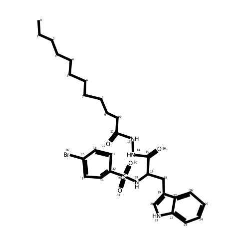 CCCCCCCCCCCC(=O)NNC(=O)C(Cc1c[nH]c2ccccc12)NS(=O)(=O)c1ccc(Br)cc1